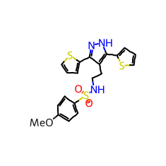 COc1ccc(S(=O)(=O)NCCc2c(-c3cccs3)n[nH]c2-c2cccs2)cc1